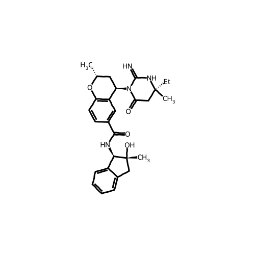 CC[C@]1(C)CC(=O)N([C@@H]2C[C@@H](C)Oc3ccc(C(=O)N[C@@H]4c5ccccc5C[C@@]4(C)O)cc32)C(=N)N1